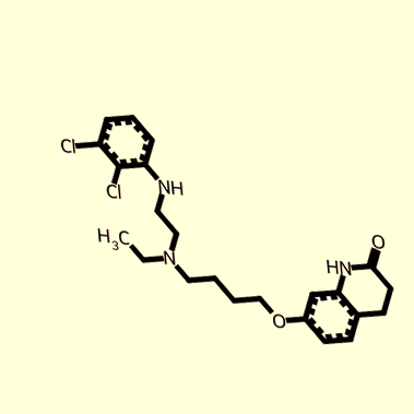 CCN(CCCCOc1ccc2c(c1)NC(=O)CC2)CCNc1cccc(Cl)c1Cl